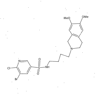 COc1cc2c(cc1OC)CN(CCCCNS(=O)(=O)c1cnc(Cl)c(Br)c1)CC2